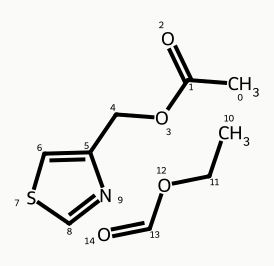 CC(=O)OCc1cscn1.CCOC=O